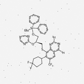 [2H]c1nc([2H])c2cc(C(F)(F)F)c(C3CCC(F)(F)CC3)c(SC[C@H](CO[Si](c3ccccc3)(c3ccccc3)C(C)(C)C)Oc3ncccn3)c2n1